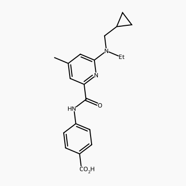 CCN(CC1CC1)c1cc(C)cc(C(=O)Nc2ccc(C(=O)O)cc2)n1